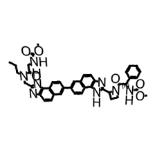 CCCN(Cc1nc2ccc3cc(-c4ccc5c(ccc6nc(C7CCN7C(=O)[C@H](NC(=O)OC)c7ccccc7)[nH]c65)c4)ccc3c2[nH]1)C(=O)CNC(=O)OC